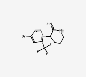 N=C1NCCCC1c1ccc(Br)cc1C(F)(F)F